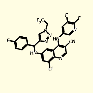 N#Cc1cnc2c(Cl)cc(NC(c3ccc(F)cc3)c3cn(CC(F)(F)F)nn3)cc2c1Nc1cnc(F)c(F)c1